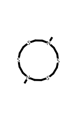 CN1CCSCCSCCN(C)CCSCCSCC1